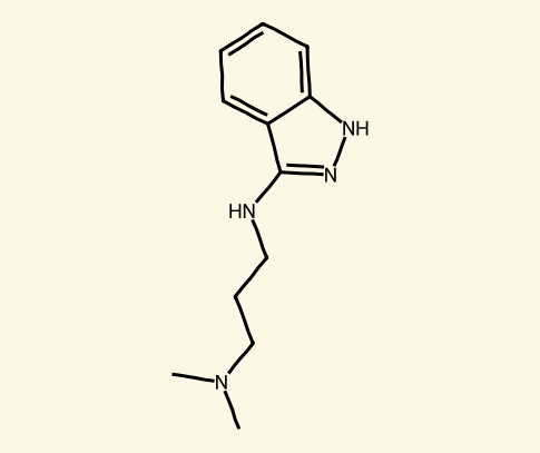 CN(C)CCCNc1n[nH]c2ccccc12